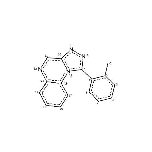 Cc1ccccc1-c1nnc2cnc3ccccc3n12